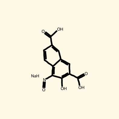 O=Nc1c(O)c(C(=O)O)cc2cc(C(=O)O)ccc12.[NaH]